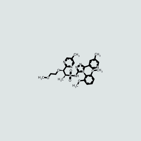 COCCO[C@@H](c1ncc(C)cn1)[C@H](C)S(=O)(=O)Nc1nnc(-c2cncc(C)c2)n1-c1c(OC)cccc1OC